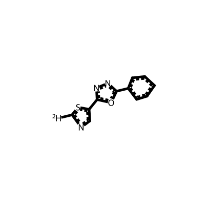 [2H]c1ncc(-c2nnc(-c3ccccc3)o2)s1